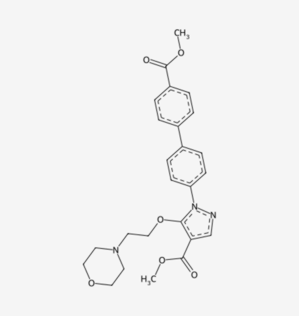 COC(=O)c1ccc(-c2ccc(-n3ncc(C(=O)OC)c3OCCN3CCOCC3)cc2)cc1